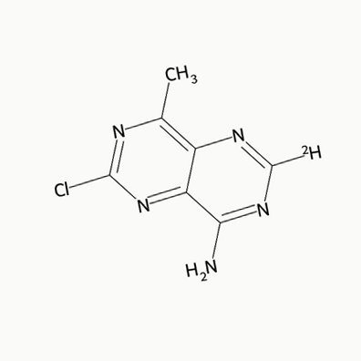 [2H]c1nc(N)c2nc(Cl)nc(C)c2n1